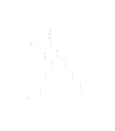 CCCCCCc1c(F)c(C#N)c(C#N)c(F)c1CCCCCC